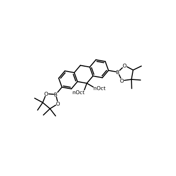 CCCCCCCCC1(CCCCCCCC)c2cc(B3OC(C)C(C)(C)O3)ccc2Cc2ccc(B3OC(C)(C)C(C)(C)O3)cc21